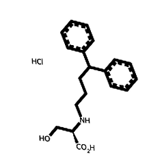 Cl.O=C(O)[C@@H](CO)NCCCC(c1ccccc1)c1ccccc1